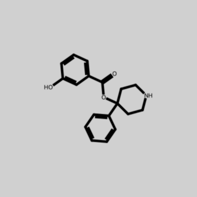 O=C(OC1(c2ccccc2)CCNCC1)c1cccc(O)c1